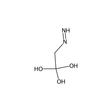 N=NCC(O)(O)O